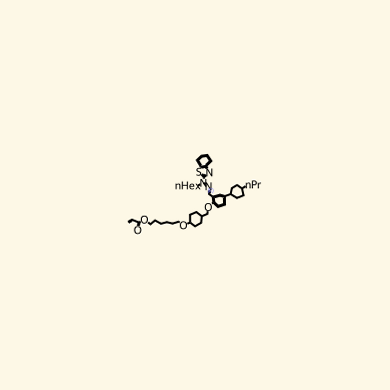 C=CC(=O)OCCCCCCOC1CCC(COc2ccc(C3CCC(CCC)CC3)cc2/C=N/N(CCCCCC)c2nc3ccccc3s2)CC1